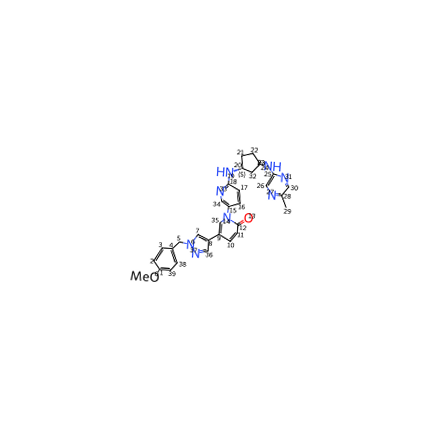 COc1ccc(Cn2cc(-c3ccc(=O)n(-c4ccc(N[C@H]5CC[C@H](Nc6cnc(C)cn6)C5)nc4)c3)cn2)cc1